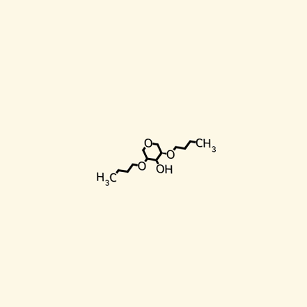 CCCCOC1COC[C@@H](OCCCC)C1O